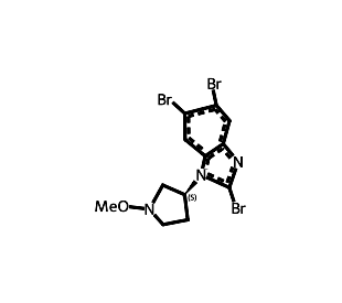 CON1CC[C@H](n2c(Br)nc3cc(Br)c(Br)cc32)C1